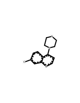 Clc1ccc2c(N3CC[N]CC3)ccnc2c1